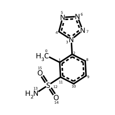 Cc1c(-n2cnnn2)cccc1S(N)(=O)=O